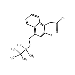 CC(C)(C)[Si](C)(C)OCc1cc(F)c(CC(=O)O)c2ccncc12